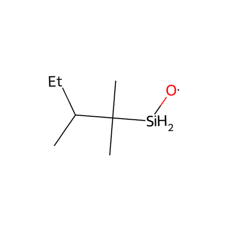 CCC(C)C(C)(C)[SiH2][O]